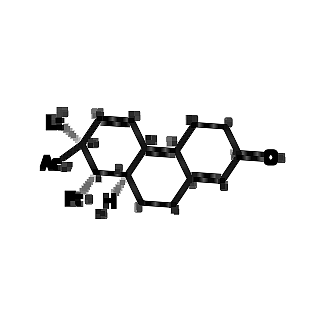 CC[C@H]1[C@@H]2CCC3=CC(=O)CCC3=C2C=C[C@]1(CC)C(C)=O